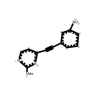 CSc1nccc(C#Cc2cccc([N+](=O)[O-])c2)n1